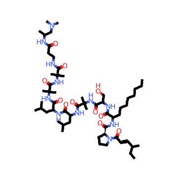 CCCCCCCCC(NC(=O)[C@@H]1CCCN1C(=O)/C=C/C(C)CC)C(=O)NC(CO)C(=O)NC(C)(C)C(=O)NC(CC(C)C)C(=O)NC(CC(C)C)C(=O)NC(C)(C)C(=O)NC(C)(C)C(=O)NCCC(=O)NC(C)CN(C)C